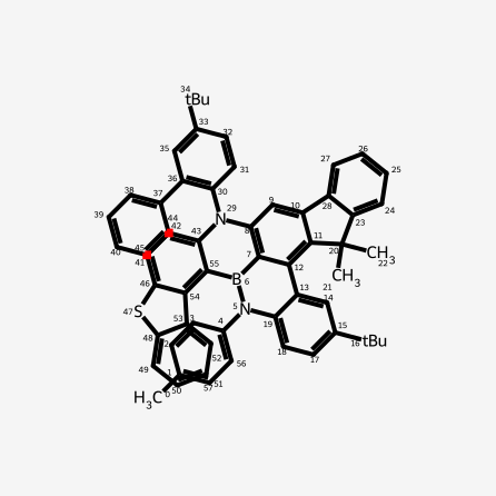 Cc1ccc(N2B3c4c(cc5c(c4-c4cc(C(C)(C)C)ccc42)C(C)(C)c2ccccc2-5)N(c2ccc(C(C)(C)C)cc2-c2ccccc2)c2ccc4sc5ccccc5c4c23)cc1